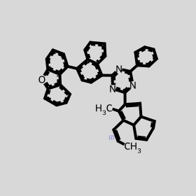 C/C=C\C1=C(C)C(c2nc(-c3ccccc3)nc(-c3ccc(-c4cccc5oc6ccccc6c45)c4ccccc34)n2)=CC2C=CC=CC12